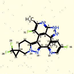 Cc1nc2[nH]nc(C)c2c(-c2c(-c3ccc(F)cn3)nn3c2CC[C@@]2(C3)CC2(F)F)c1F